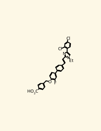 CCn1cc(-c2ccc(Cl)cc2Cl)nc1/C=C/c1ccc(-c2ccc(OCc3ccc(C(=O)O)cc3)c(F)c2)cc1